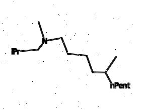 CCCCCC(C)CCCCN(C)CC(C)C